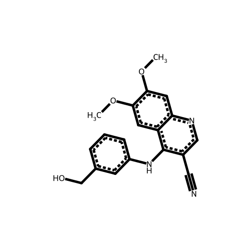 COc1cc2ncc(C#N)c(Nc3cccc(CO)c3)c2cc1OC